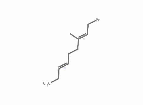 C/C(=C\CBr)CC/C=C/CC(Cl)(Cl)Cl